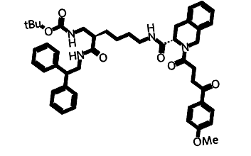 COc1ccc(C(=O)CCC(=O)N2Cc3ccccc3C[C@H]2C(=O)NCCCC[C@H](CNC(=O)OC(C)(C)C)C(=O)NCC(c2ccccc2)c2ccccc2)cc1